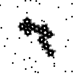 C1=C2C(=CCC1)C1(c3ccccc32)c2ccccc2-c2cc3c(cc21)Oc1cc(N(c2cccc(-c4ccc(-c5ccccc5)cc4)c2)c2ccccc2-c2ccccc2)ccc1O3